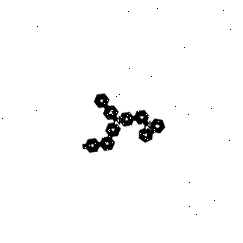 Cc1ccc(-c2cccc(-c3ccc(N(c4ccc(C5=CC(N6c7ccccc7C7CCC=CC76)CC=C5)cc4)c4ccc(-c5ccccc5)cc4)cc3)c2)cc1